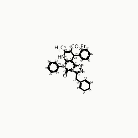 CCOC(=O)C1=C(C)Nc2c(c3nnc(CC4=CCCC=C4)n3c(=O)n2-c2ccccc2)C1c1ccccc1